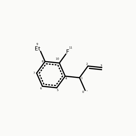 [CH2]C(C=C)c1cccc(CC)c1F